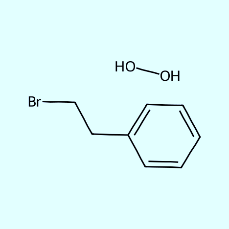 BrCCc1ccccc1.OO